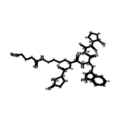 CNCCCC(=O)NCCCCC(CC(=O)C1CCC(=O)N1)C(=O)NC(Cc1c[nH]c2ccccc12)C(=O)NC(C)C(=O)N1CCCC1C(C)=O